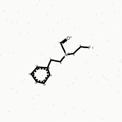 O=CN(CCF)CCc1ccccc1